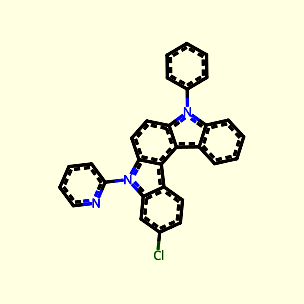 Clc1ccc2c3c4c5ccccc5n(-c5ccccc5)c4ccc3n(-c3ccccn3)c2c1